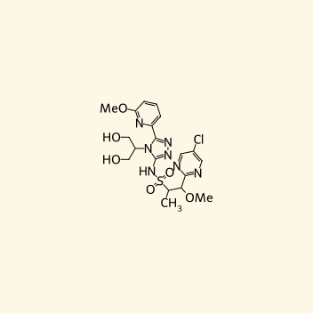 COc1cccc(-c2nnc(NS(=O)(=O)C(C)C(OC)c3ncc(Cl)cn3)n2C(CO)CO)n1